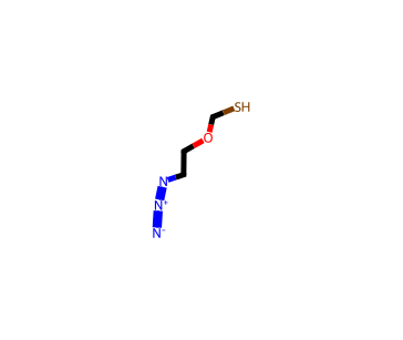 [N-]=[N+]=NCCOCS